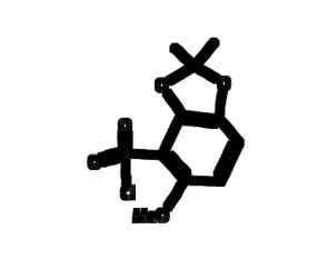 COc1ccc2c(c1S(=O)(=O)Cl)OC(C)(C)O2